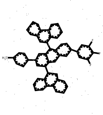 Cc1ccc(-c2cc(-c3cc4ccccc4c4ccccc34)c3cc4cc(-c5cc(F)c(F)c(F)c5)ccc4c(-c4cc5ccccc5c5ccccc45)c3c2)cc1